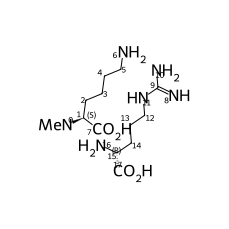 CN[C@@H](CCCCN)C(=O)O.N=C(N)NCCC[C@@H](N)C(=O)O